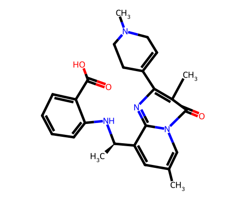 Cc1cc([C@@H](C)Nc2ccccc2C(=O)O)c2nc(C3=CCN(C)CC3)c(C)c(=O)n2c1